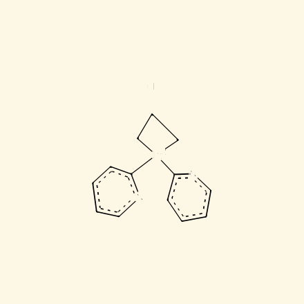 [Cl-].[Cl-].c1cc[c]([Pt+2]2([c]3ccccn3)[CH2]C[CH2]2)nc1